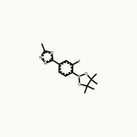 Cc1nnc(-c2ccc(B3OC(C)(C)C(C)(C)O3)c(F)c2)o1